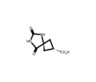 O=C1NC(=O)[C@]2(C[C@@H](C(=O)O)C2)N1